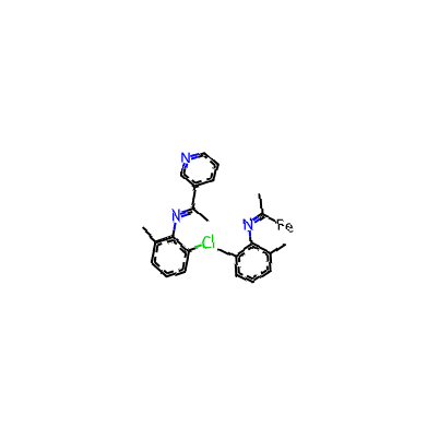 CC(=Nc1c(C)cccc1Cl)c1cccnc1.C[C]([Fe])=Nc1c(C)cccc1C